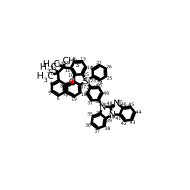 CC1(C)c2ccccc2Oc2c(cccc2[Si](c2ccccc2)(c2ccccc2)c2ccc(-n3c4ccccc4n4c5ccccc5nc34)cc2)C1(C)C